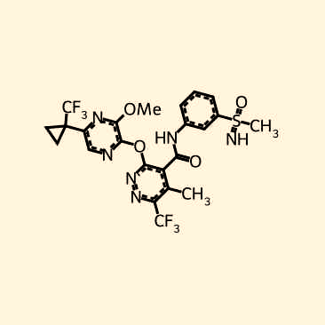 COc1nc(C2(C(F)(F)F)CC2)cnc1Oc1nnc(C(F)(F)F)c(C)c1C(=O)Nc1cccc(S(C)(=N)=O)c1